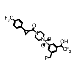 O=C(C1CC1c1ccc(C(F)(F)F)cc1)N1CCN(S(=O)(=O)c2cc(CF)cc(C(O)C(F)(F)F)c2)CC1